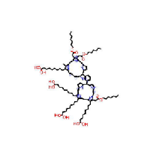 CCCCCCCOC(=O)CC1=C(CCCCCCCCC(O)O)C2Cc3[nH]c(c(CCCCCCCCC(O)O)c3CCCCCCCCC(O)O)/C=C3/C=CC(=N3)C(c3cccc(C4C5=N/C(=C\c6[nH]c(c(CC(=O)OCCCCCCC)c6CC(=O)OCCCCCCC)CC6N=C(/C=C/C=C\C4N)C(CCCCCCCCC(O)O)=C6C)C=C5)c3)C3C=C/C(=C/C1=N2)N3